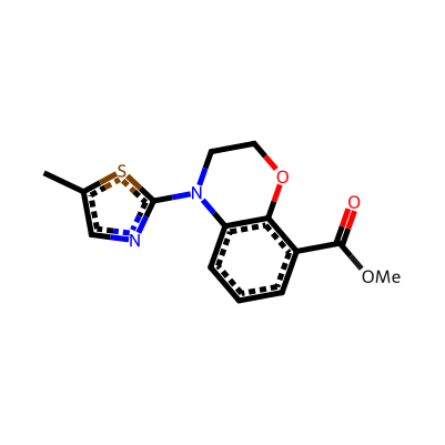 COC(=O)c1cccc2c1OCCN2c1ncc(C)s1